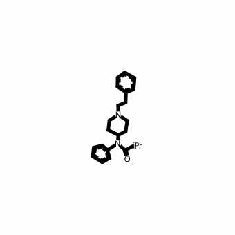 CC(C)C(=O)N(c1ccccc1)C1CCN(CCc2ccccc2)CC1